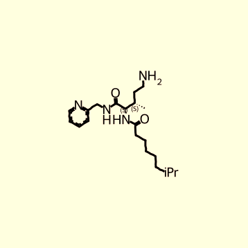 CC(C)CCCCCC(=O)N[C@H](C(=O)NCc1ccccn1)[C@@H](C)CCN